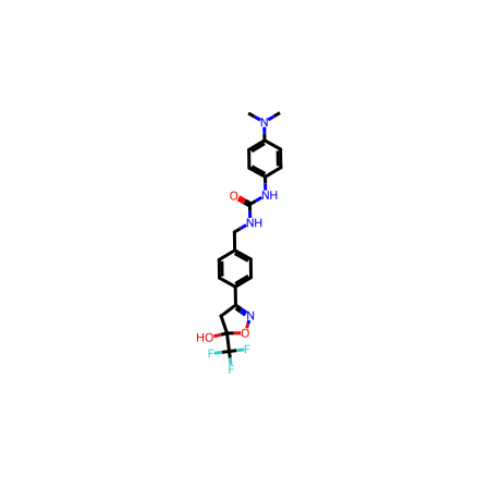 CN(C)c1ccc(NC(=O)NCc2ccc(C3=NOC(O)(C(F)(F)F)C3)cc2)cc1